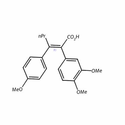 CCC/C(=C(\C(=O)O)c1ccc(OC)c(OC)c1)c1ccc(OC)cc1